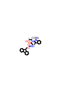 C[C@@H](O)[C@H](NC(=O)[C@H](Cc1c[nH]c2ccccc12)NC(=O)OCC1c2ccccc2-c2ccccc21)C(=O)O